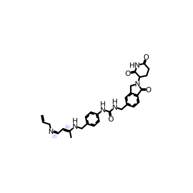 C=CC/N=C\C=C(/C)NCc1ccc(NC(=O)NCc2ccc3c(c2)CN(C2CCC(=O)NC2=O)C3=O)cc1